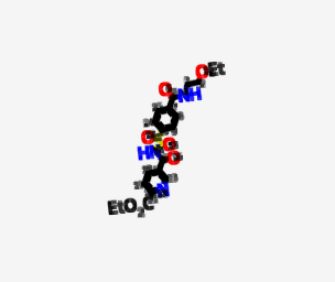 CCOCCNC(=O)c1ccc(S(=O)(=O)NC(=O)c2ccc(C(=O)OCC)nc2)cc1